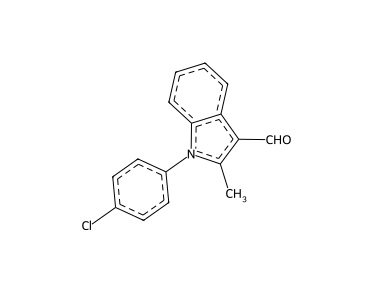 Cc1c(C=O)c2ccccc2n1-c1ccc(Cl)cc1